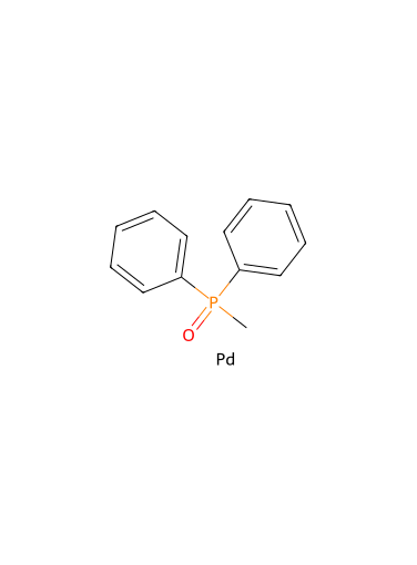 CP(=O)(c1ccccc1)c1ccccc1.[Pd]